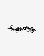 CC=CC(=O)OCCC(O)Oc1ccc(C(C)(C)c2ccc(OC(O)CCOC(=O)C=CC)cc2)cc1